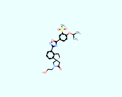 CC(C)Oc1ccc(-c2nc(-c3cccc4c3CC[C@@]43CC(=O)N(CCO)C3)no2)cc1S(C)(=O)=O